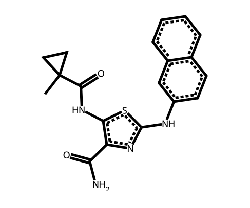 CC1(C(=O)Nc2sc(Nc3ccc4ccccc4c3)nc2C(N)=O)CC1